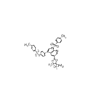 C=C1OB(c2cnc3c(c2)c(-c2ccc(OS(=O)(=O)c4ccc(C)cc4)cc2)cn3S(=O)(=O)c2ccc(C)cc2)OC1(C)C